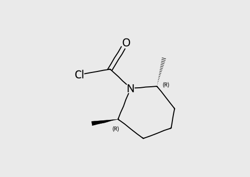 C[C@@H]1CCC[C@@H](C)N1C(=O)Cl